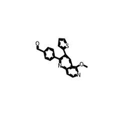 COc1nccc2nc(-c3ccc(C=O)cc3)c(-c3cccs3)cc12